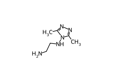 Cc1nnc(C)n1NCCN